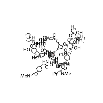 CNCCOc1ccc(CC(=O)NC(=O)C[C@@H]2NC(=O)[C@H](NC(=O)[C@@H](CC(C)C)NC)[C@H](O)c3ccc(c(Cl)c3)Oc3cc4cc(c3O[C@@H]3C[C@H](CO)[C@@H](O)[C@H](O)[C@H]3O[C@H]3C[C@](C)(N)[C@H](O)[C@H](C)O3)Oc3ccc(cc3Cl)[C@@H](O)[C@@H]3NC(=O)[C@H](NC(=O)[C@@H]4NC2=O)c2ccc(O)c(c2)-c2c(O)cc(O)cc2[C@@H](C(=O)NC2C4CC5CC(C4)CC2C5)NC3=O)cc1